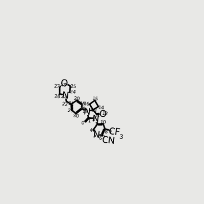 C=C1N(c2cnc(C#N)c(C(F)(F)F)c2)C(=O)C2(CCC2)N1c1ccc(CN2CCOCC2)cc1